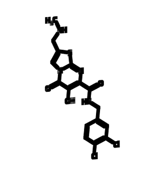 CNCc1cn2c(=O)c(O)c(C(=O)NCc3ccc(Cl)c(Cl)c3)nc2s1